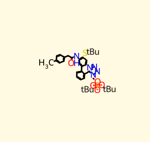 Cc1ccc(CC(=O)Nc2cc(-c3ccccc3-c3nnnn3COP(=O)(OC(C)(C)C)OC(C)(C)C)ccc2SC(C)(C)C)cc1